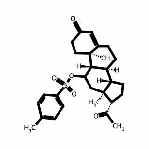 CC(=O)[C@H]1CC[C@H]2[C@@H]3CCC4=CC(=O)CC[C@]4(C)[C@H]3C(OS(=O)(=O)c3ccc(C)cc3)C[C@]12C